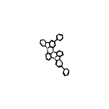 C1=CCCC(c2cc3c4c(c2)C2CCC=CC2N4c2cccc4c2B3c2cccc3c2N4C2=CC=C(C4C=CC=CC4)CC23)=C1